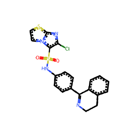 O=S(=O)(Nc1ccc(C2=NCCc3ccccc32)cc1)c1c(Cl)nc2sccn12